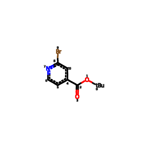 CC(C)(C)OC(=O)c1ccnc(Br)c1